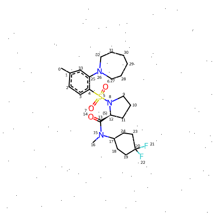 Cc1ccc(S(=O)(=O)N2CCC[C@H]2C(=O)N(C)C2CCC(F)(F)CC2)c(N2CCCCCC2)c1